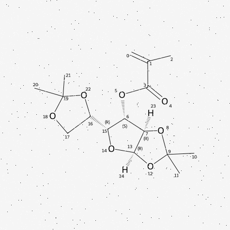 C=C(C)C(=O)O[C@@H]1[C@H]2OC(C)(C)O[C@H]2O[C@@H]1C1COC(C)(C)O1